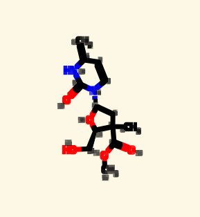 C=C1C=CN([C@@H]2CC(C)(C(=O)OC)[C@@H](CO)O2)C(=O)N1